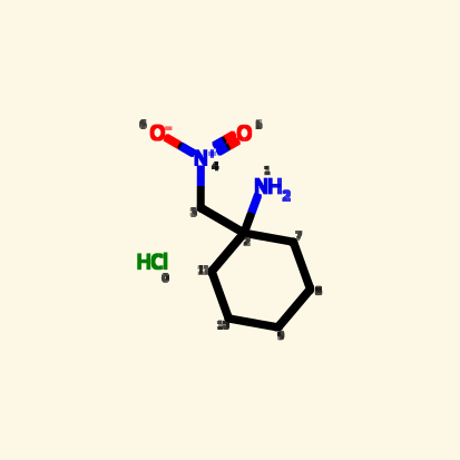 Cl.NC1(C[N+](=O)[O-])CCCCC1